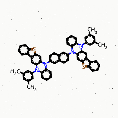 Cc1cc(C)cc(N2c3ccccc3N(c3ccc4cc(N5c6ccccc6N(c6cc(C)cc(C)c6)c6cc7c(cc65)sc5ccccc57)ccc4c3)c3cc4sc5ccccc5c4cc32)c1